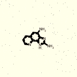 Nc1nc2c(N)cc3cccnc3c2[nH]1